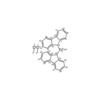 C[O-].C[O-].[CH2]=[Ti+2]([CH]1c2ccccc2-c2ccccc21)[CH]1c2ccccc2-c2ccccc21